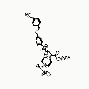 COC(=O)[C@H](CNS(=O)(=O)c1ccc(OCc2ccc(C#N)cc2)cc1)N1CCN(S(C)(=O)=O)CC1